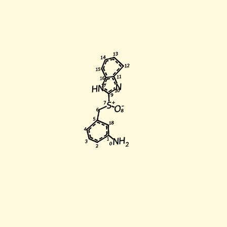 Nc1cccc(C[S+]([O-])c2nc3ccccc3[nH]2)c1